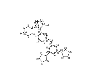 Cc1nnn(C2CCNCC2)c1-c1cccc(Oc2cc(C3CCCC3)cc(C3CCCC3)c2)n1